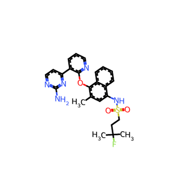 Cc1cc(NS(=O)(=O)CCC(C)(C)F)c2ccccc2c1Oc1ncccc1-c1ccnc(N)n1